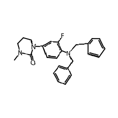 CN1CCCN(c2ccc(N(Cc3ccccc3)Cc3ccccc3)c(F)c2)C1=O